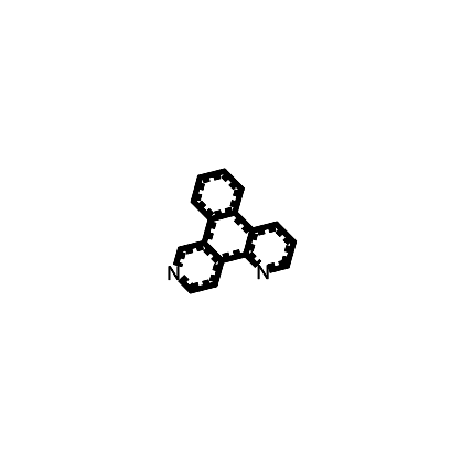 c1ccc2c(c1)c1cnccc1c1ncccc21